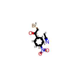 CC#N.O=C(CBr)c1ccc([N+](=O)[O-])cc1